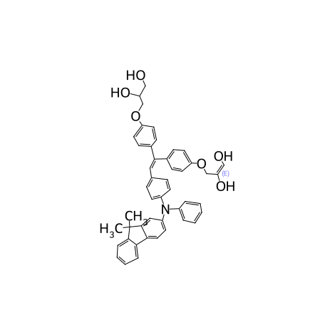 CC1(C)c2ccccc2-c2ccc(N(c3ccccc3)c3ccc(C=C(c4ccc(OC/C(O)=C\O)cc4)c4ccc(OCC(O)CO)cc4)cc3)cc21